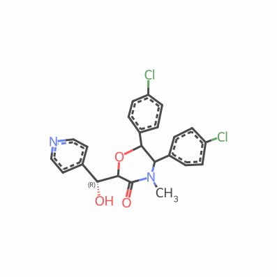 CN1C(=O)C([C@H](O)c2ccncc2)OC(c2ccc(Cl)cc2)C1c1ccc(Cl)cc1